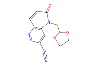 N#Cc1cnc2ccc(=O)n(CC3OCCO3)c2c1